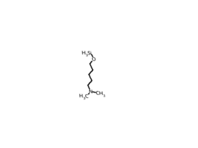 CN(C)CCCCCO[SiH3]